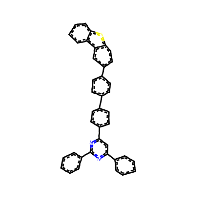 c1ccc(-c2cc(-c3ccc(-c4ccc(-c5ccc6sc7ccccc7c6c5)cc4)cc3)nc(-c3ccccc3)n2)cc1